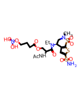 CCN(C(=O)C(COC(=O)CCCON(O)O)NC(C)=O)[C@H]1CN(C)S(=O)(=O)c2sc(S(N)(=O)=O)cc21